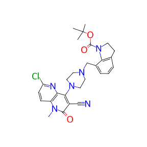 Cn1c(=O)c(C#N)c(N2CCN(Cc3cccc4c3N(C(=O)OC(C)(C)C)CC4)CC2)c2nc(Cl)ccc21